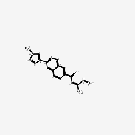 CC(=O)ONC(N)=NC(=O)c1ccc2cc(-c3cnn(C)c3)ccc2c1